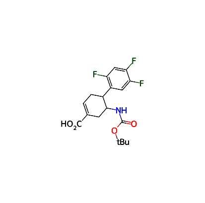 CC(C)(C)OC(=O)NC1CC(C(=O)O)=CCC1c1cc(F)c(F)cc1F